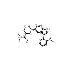 COc1ccccc1-c1c[nH]c2ncc(N3CCCC(C(=O)N(C)C)C3)cc12